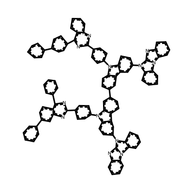 c1ccc(-c2ccc(-c3nc(-c4ccc(-n5c6ccc(-c7ccc8c9cc(-n%10c%11ccccc%11n%11c%12ccccc%12nc%10%11)ccc9n(-c9ccc(-c%10nc(-c%11ccccc%11)c%11ccc(-c%12ccccc%12)cc%11n%10)cc9)c8c7)cc6c6cc(-n7c8ccccc8n8c9ccccc9nc78)ccc65)cc4)nc4ccccc34)cc2)cc1